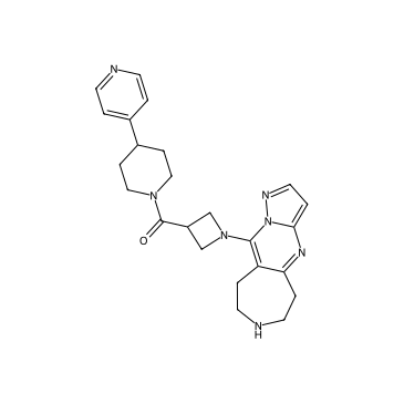 O=C(C1CN(c2c3c(nc4ccnn24)CCNCC3)C1)N1CCC(c2ccncc2)CC1